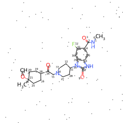 CNC(=O)c1cc2[nH]c(=O)n(C3CCN(CC(=O)C4CCC(C)(OC)CC4)CC3)c2cc1F